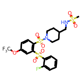 CS(=O)(=O)NCC1CCN(S(=O)(=O)c2ccc(OC(F)(F)F)cc2S(=O)(=O)c2ccccc2F)CC1